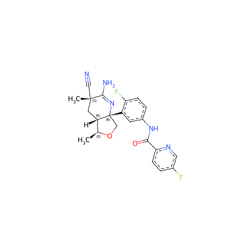 C[C@@H]1OC[C@@]2(c3cc(NC(=O)c4ccc(F)cn4)ccc3F)N=C(N)[C@@](C)(C#N)C[C@@H]12